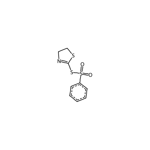 O=S(=O)(SC1=NCCS1)c1ccccc1